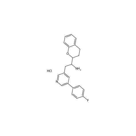 Cl.NC(Cc1cncc(-c2ccc(F)cc2)c1)C1CCc2ccccc2O1